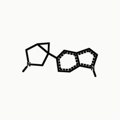 CN1CC2CC2(c2ccc3c(ccn3C)c2)C1